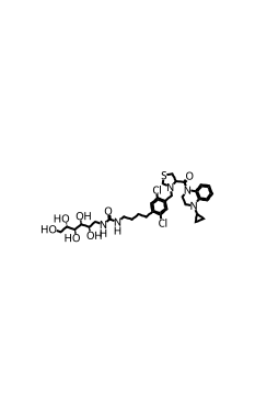 O=C(NCCCCc1cc(Cl)c(CN2CSCC2C(=O)N2CCN(C3CC3)c3ccccc32)cc1Cl)NC[C@@H](O)[C@H](O)[C@@H](O)[C@@H](O)CO